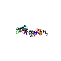 CS(=O)(=O)CC(=O)N1CC2(C1)OCc1cc(C3=NO[C@](c4ccc(F)c(Cl)c4)(C(F)(F)F)C3)ccc12